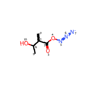 C=C(C(=O)ON=[N+]=[N-])C(C)O